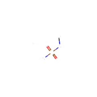 C.CCNS(N)(=O)=O